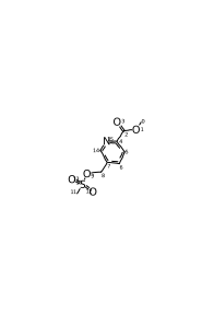 COC(=O)c1ccc(COS(C)(=O)=O)cn1